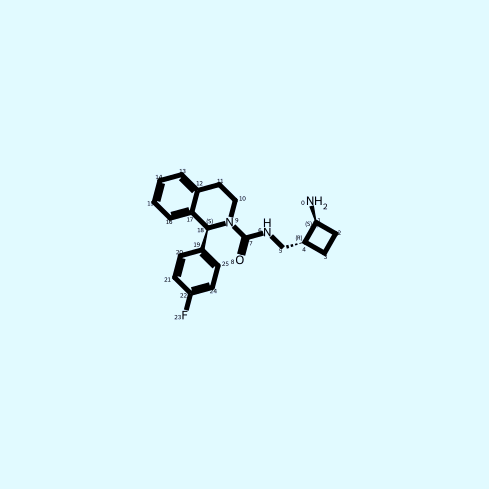 N[C@H]1CC[C@@H]1CNC(=O)N1CCc2ccccc2[C@@H]1c1ccc(F)cc1